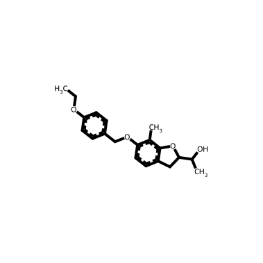 CCOc1ccc(COc2ccc3c(c2C)OC(C(C)O)C3)cc1